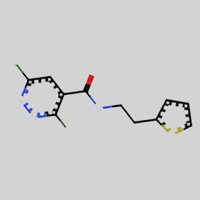 O=C(NCCc1cccs1)c1cc(Cl)nnc1Cl